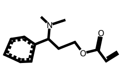 C=CC(=O)OCCC(c1ccccc1)N(C)C